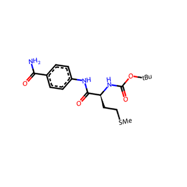 CSCC[C@H](NC(=O)OC(C)(C)C)C(=O)Nc1ccc(C(N)=O)cc1